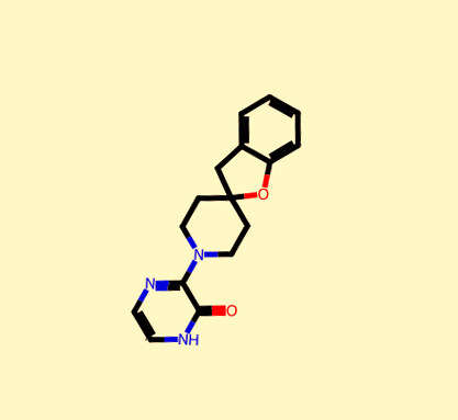 O=c1[nH][c]cnc1N1CCC2(CC1)Cc1ccccc1O2